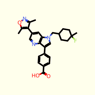 Cc1noc(C)c1-c1cnc2c(-c3ccc(C(=O)O)cc3)cn(CC3CCC(C)(F)CC3)c2c1